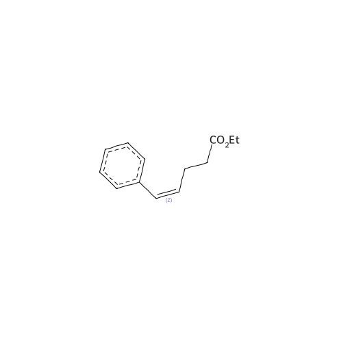 CCOC(=O)CC/C=C\c1ccccc1